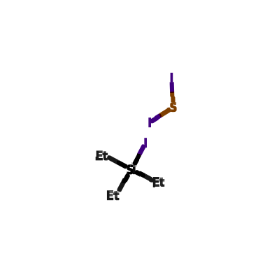 CC[Si](I)(CC)CC.ISI